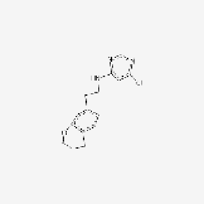 Clc1cc(NCCc2ccc3c(c2)OCCC3)ncn1